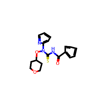 O=C(NC(=S)N(OC1CCOCC1)c1ccccn1)c1ccccc1